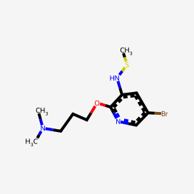 CSNc1cc(Br)cnc1OCCCN(C)C